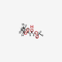 C=C(C)C(=O)OCC(O)CC(=O)OC(C)(CC(C)(C)C)C(C)C